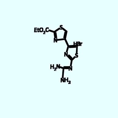 Br.CCOC(=O)c1nc(-c2csc(N=C(N)N)n2)cs1